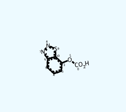 O=C(O)Oc1cccc2nnsc12